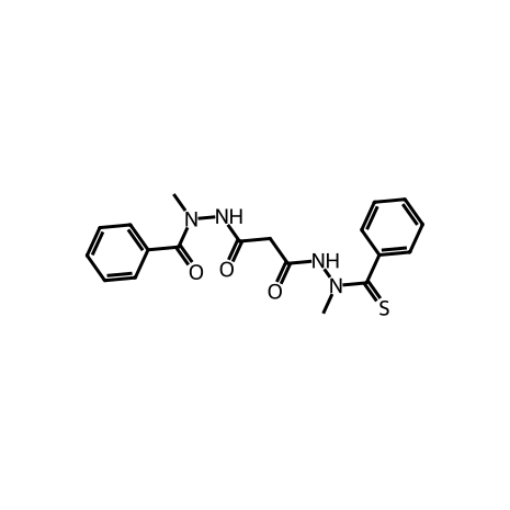 CN(NC(=O)CC(=O)NN(C)C(=S)c1ccccc1)C(=O)c1ccccc1